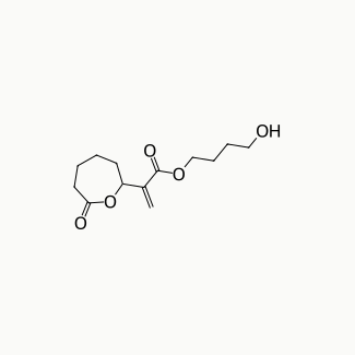 C=C(C(=O)OCCCCO)C1CCCCC(=O)O1